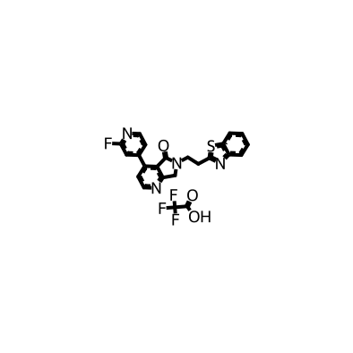 O=C(O)C(F)(F)F.O=C1c2c(-c3ccnc(F)c3)ccnc2CN1CCc1nc2ccccc2s1